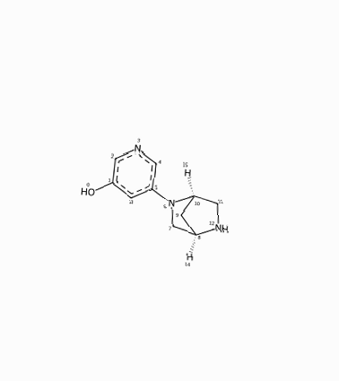 Oc1cncc(N2C[C@H]3C[C@@H]2CN3)c1